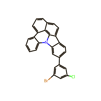 Clc1cc(Br)cc(-c2ccc3c4ccc5cccc6c7ccccc7n(c3c2)c4c56)c1